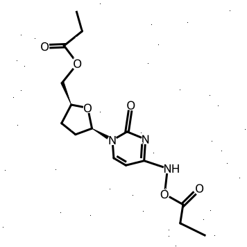 CCC(=O)OC[C@@H]1CC[C@H](n2ccc(NOC(=O)CC)nc2=O)O1